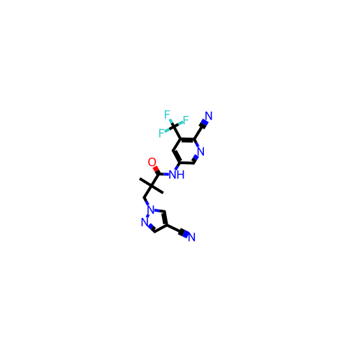 CC(C)(Cn1cc(C#N)cn1)C(=O)Nc1cnc(C#N)c(C(F)(F)F)c1